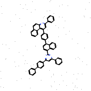 c1ccc(-c2ccc(-c3cc(-c4ccccc4)nc(-c4ccc(-c5ccc(-c6cc(-c7ccccc7)nc7ccc8ccccc8c67)cc5)c5ccccc45)n3)cc2)cc1